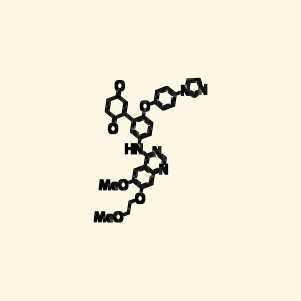 COCCOc1cc2ncnc(Nc3ccc(Oc4ccc(-n5ccnc5)cc4)c(C4=CC(=O)C=CC4=O)c3)c2cc1OC